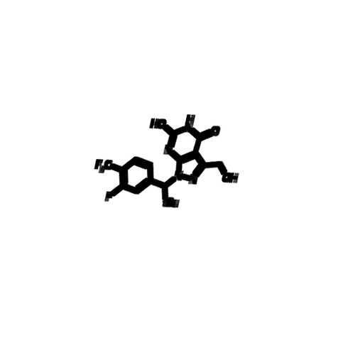 CC(C)(C)C(c1ccc(C(F)(F)F)c(F)c1)n1nc(CO)c2c(=O)[nH]c(O)nc21